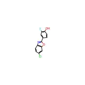 Oc1ccc(-c2nc3ccc(Cl)cc3o2)cc1F